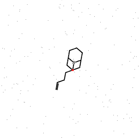 C=CCCCB1C2CCCC1CCC2